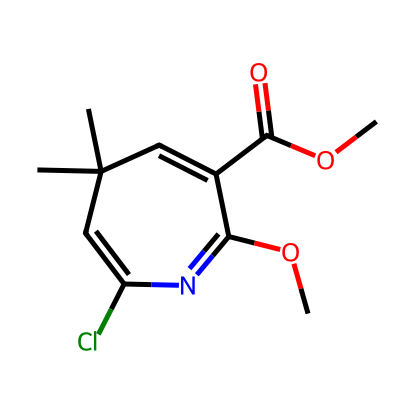 COC(=O)C1=CC(C)(C)C=C(Cl)N=C1OC